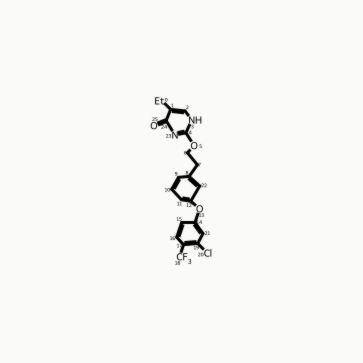 CCc1c[nH]c(OCCc2cccc(Oc3ccc(C(F)(F)F)c(Cl)c3)c2)nc1=O